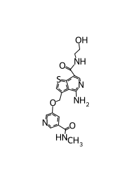 CNC(=O)c1cncc(OCc2csc3c(C(=O)NCCO)cnc(N)c23)c1